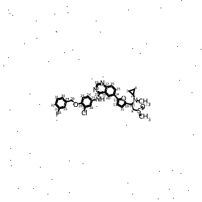 CN(C1CC1)[C@@H](C[S+](C)[O-])c1ccc(-c2ccc3ncnc(Nc4ccc(OCc5cccc(F)c5)c(Cl)c4)c3c2)o1